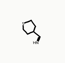 N=CC1CCSCC1